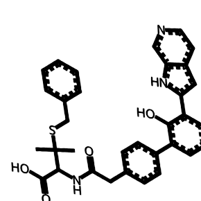 CC(C)(SCc1ccccc1)C(NC(=O)Cc1ccc(-c2cccc(-c3cc4ccncc4[nH]3)c2O)cc1)C(=O)O